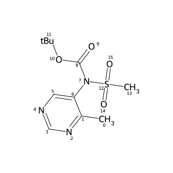 Cc1ncncc1N(C(=O)OC(C)(C)C)S(C)(=O)=O